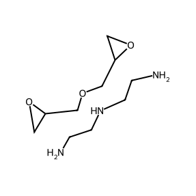 C(OCC1CO1)C1CO1.NCCNCCN